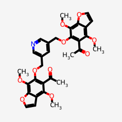 COc1c(C(C)=O)c(OCc2cncc(COc3c(C(C)=O)c(OC)c4ccoc4c3OC)c2)c(OC)c2occc12